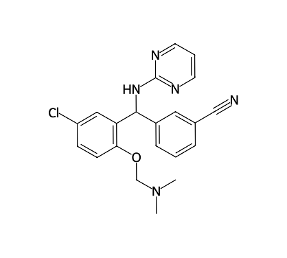 CN(C)COc1ccc(Cl)cc1C(Nc1ncccn1)c1cccc(C#N)c1